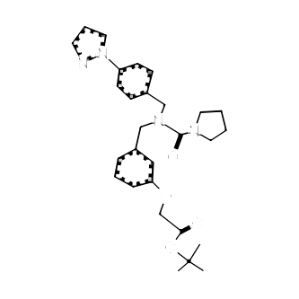 CC(C)(C)OC(=O)COc1cccc(CN(Cc2ccc(-n3cccn3)cc2)C(=O)N2CCCC2)c1